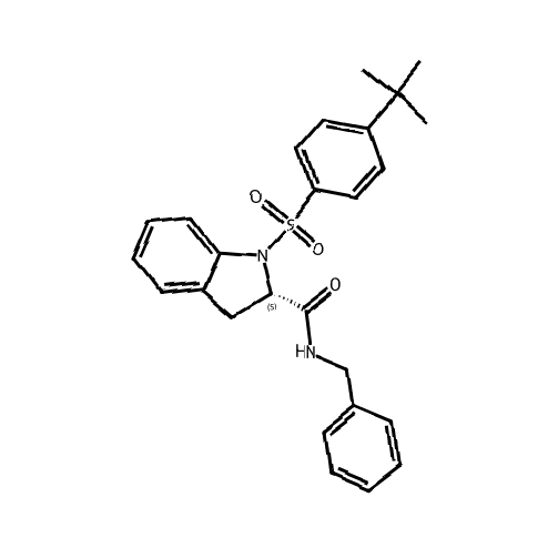 CC(C)(C)c1ccc(S(=O)(=O)N2c3ccccc3C[C@H]2C(=O)NCc2ccccc2)cc1